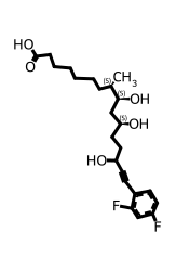 C[C@@H](CCCCCCC(=O)O)[C@@H](O)C[C@@H](O)CCC(O)C#Cc1ccc(F)cc1F